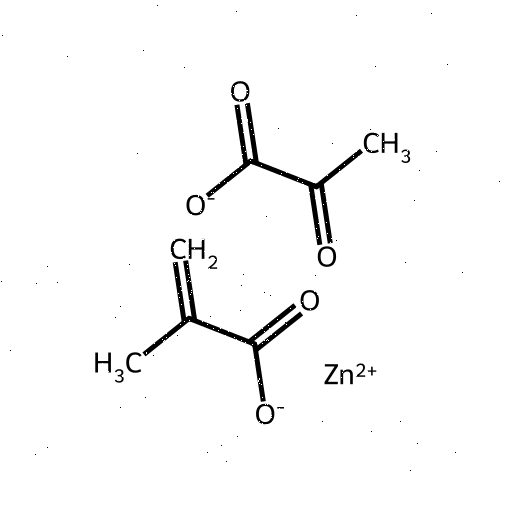 C=C(C)C(=O)[O-].CC(=O)C(=O)[O-].[Zn+2]